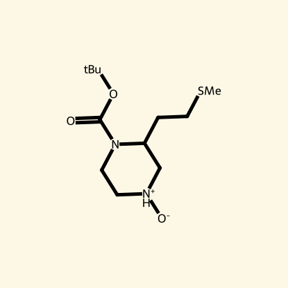 CSCCC1C[NH+]([O-])CCN1C(=O)OC(C)(C)C